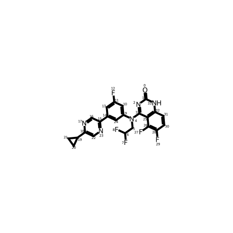 O=c1nc(N(CC(F)F)c2cc(F)cc(-c3cnc(C4CC4)cn3)c2)c2c(F)c(F)ccc2[nH]1